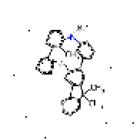 Cc1cc2c(cc1-c1cccc(N(c3cccc(-c4ccccc4)c3C)C(C)(C)C)c1)C(C)(C)c1ccccc1-2